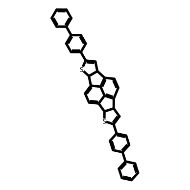 C1=C(c2ccc(-c3ccccc3)cc2)SC2c3ccc4c5c(ccc(c35)C12)C1C=C(c2ccc(-c3ccccc3)cc2)SC41